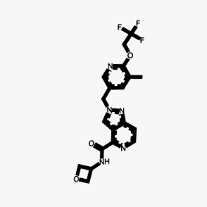 Cc1cc(Cn2cc3c(C(=O)NC4COC4)nccc3n2)cnc1OCC(F)(F)F